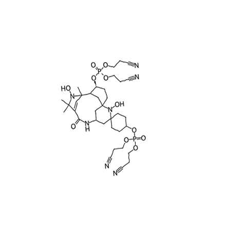 CC1(C)C2=CC(C)(C3CC4(CC[C@@H]3OP(=O)(OCCC#N)OCCC#N)CC(CC3(CCC(OP(=O)(OCCC#N)OCCC#N)CC3)N4O)NC2=O)N1O